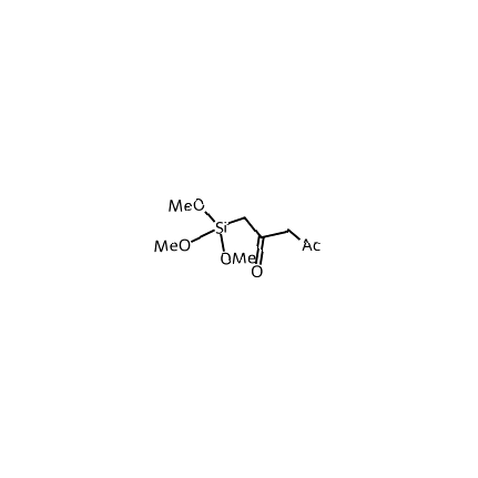 CO[Si](CC(=O)CC(C)=O)(OC)OC